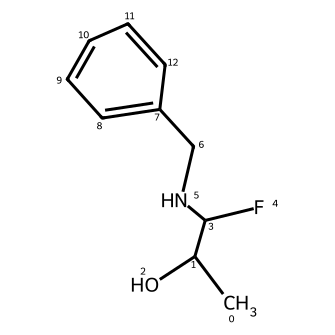 CC(O)C(F)NCc1ccccc1